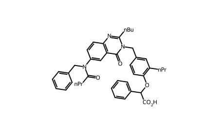 CCCCc1nc2ccc(N(Cc3ccccc3)C(=O)CCC)cc2c(=O)n1Cc1ccc(OC(C(=O)O)c2ccccc2)c(CCC)c1